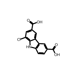 O=C(O)c1ccc2[nH]c3c(Cl)cc(C(=O)O)cc3c2c1